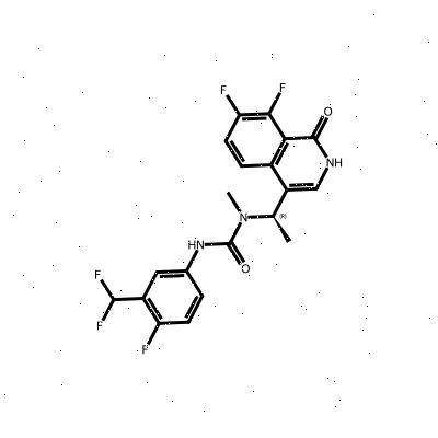 C[C@H](c1c[nH]c(=O)c2c(F)c(F)ccc12)N(C)C(=O)Nc1ccc(F)c(C(F)F)c1